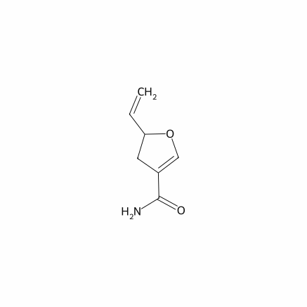 C=CC1CC(C(N)=O)=CO1